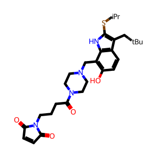 CC(C)Sc1[nH]c2c(CN3CCN(C(=O)CCCN4C(=O)C=CC4=O)CC3)c(O)ccc2c1CC(C)(C)C